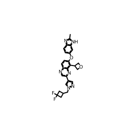 Cc1nc2ccc(Oc3ccc4ncc(-c5cnn(CC6CC(F)(F)C6)c5)nc4c3C3COC3)cc2[nH]1